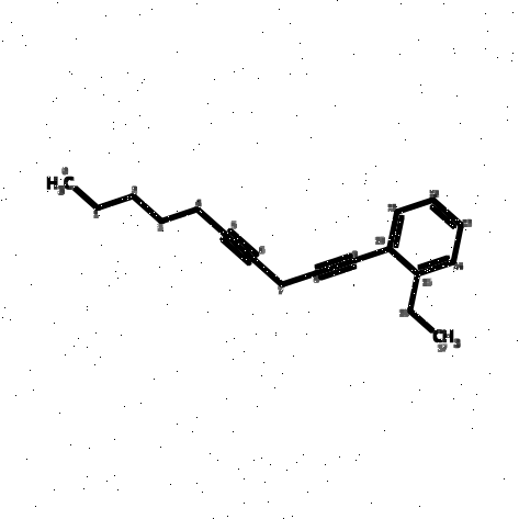 CCCCCC#CCC#Cc1ccccc1CC